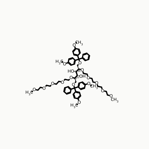 COCCOCCOCCOCCO[C@H](COC(c1ccccc1)(c1ccc(OC)cc1)c1ccc(OC)cc1)[C@@H](O)[C@H](O)[C@@H](COC(c1ccccc1)(c1ccc(OC)cc1)c1ccc(OC)cc1)OCCOCCOCCOCCOC